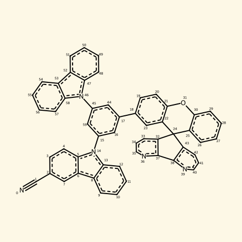 N#Cc1ccc2c(c1)c1ccccc1n2-c1cc(-c2ccc3c(c2)C2(c4ccccc4O3)c3cccnc3-c3ncccc32)cc(-n2c3ccccc3c3ccccc32)c1